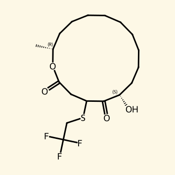 C[C@@H]1CCCCCCCCC[C@H](O)C(=O)C(SCC(F)(F)F)CC(=O)O1